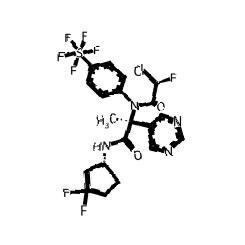 C[C@@](C(=O)N[C@@H]1CCC(F)(F)C1)(c1cncnc1)N(C(=O)[C@H](F)Cl)c1ccc(S(F)(F)(F)(F)F)cc1